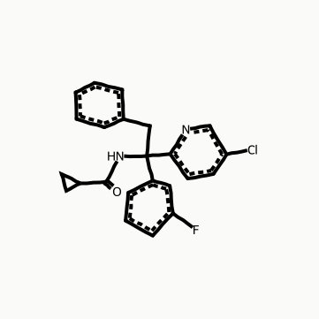 O=C(NC(Cc1ccccc1)(c1cccc(F)c1)c1ccc(Cl)cn1)C1CC1